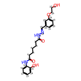 O=C(CCCCCC(=O)Nc1ccccc1O)N/N=C/c1cccc(OCCO)c1